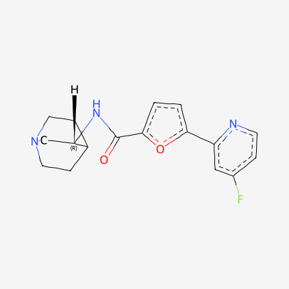 O=C(N[C@H]1CN2CCC1CC2)c1ccc(-c2cc(F)ccn2)o1